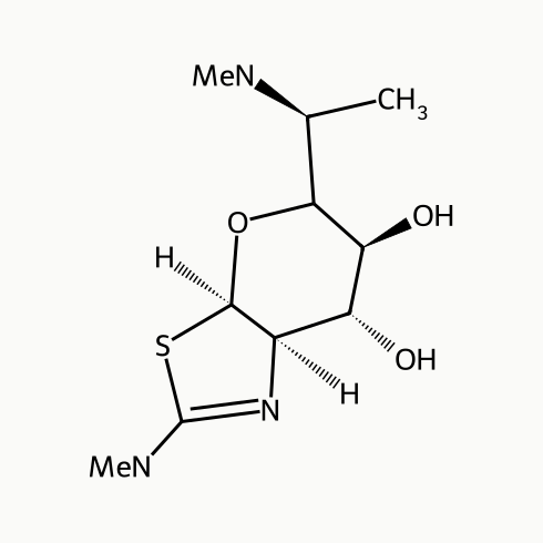 CNC1=N[C@@H]2[C@@H](O)[C@H](O)C([C@H](C)NC)O[C@@H]2S1